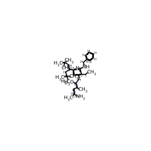 CCc1c(C/C(C)=C(C)/C=C(/C)N)cc(/C(=C/C(C)(C)C)CC(C)(C)C)nc1NCc1ccccc1